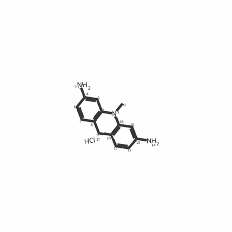 CN1c2cc(N)ccc2Cc2ccc(N)cc21.Cl